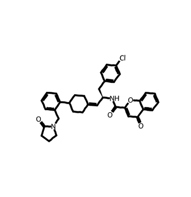 O=C(N[C@@H](C=C1CCC(c2ccccc2CN2CCCC2=O)CC1)Cc1ccc(Cl)cc1)c1cc(=O)c2ccccc2o1